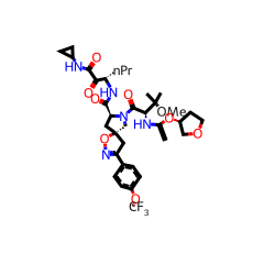 C=C(N[C@H](C(=O)N1C[C@@]2(CC(c3ccc(OC(F)(F)F)cc3)=NO2)C[C@H]1C(=O)N[C@@H](CCC)C(=O)C(=O)NC1CC1)C(C)(C)OC)O[C@H]1CCOC1